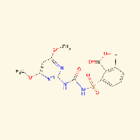 COc1cc(OC)nc(NC(=O)NS(=O)(=O)c2cccc3c2C(=O)OC3)n1